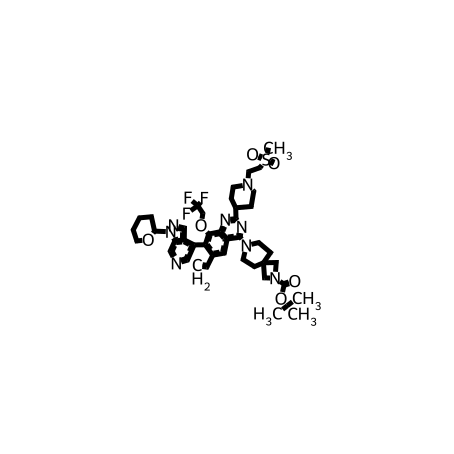 C=Cc1cc2c(N3CCC4(CC3)CN(C(=O)OC(C)(C)C)C4)nc(C3CCN(CCS(C)(=O)=O)CC3)nc2c(OCC(F)(F)F)c1-c1cncc2c1cnn2C1CCCCO1